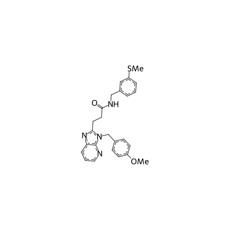 COc1ccc(Cn2c(CCC(=O)NCc3cccc(SC)c3)nc3cccnc32)cc1